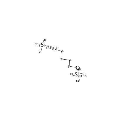 C[Si](C)(C)C#CCCCCO[Si](C)(C)C